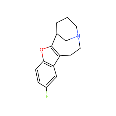 Fc1ccc2oc3c(c2c1)CCN1CCCC3C1